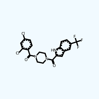 O=C(c1cc2cc(C(F)(F)F)ccc2[nH]1)N1CCN(C(=O)c2ccc(Cl)cc2Cl)CC1